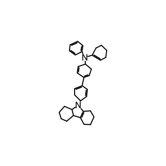 C1=CC(N(C2=CCCCC2)c2ccccc2)CC=C1C1=CCC(N2C3=C(CCCC3)C3CCCCC32)C=C1